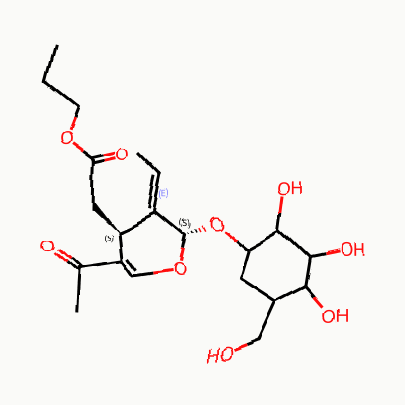 C/C=C1/[C@H](OC2CC(CO)C(O)C(O)C2O)OC=C(C(C)=O)[C@H]1CC(=O)OCCC